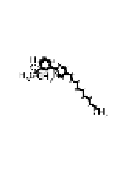 CCCCCCCCCCc1cnc(-c2cccc(C(C)(C)C)c2)nc1